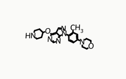 Cc1cc(N2CCOCC2)ccc1-n1ncc2c(OC3CCNCC3)ncnc21